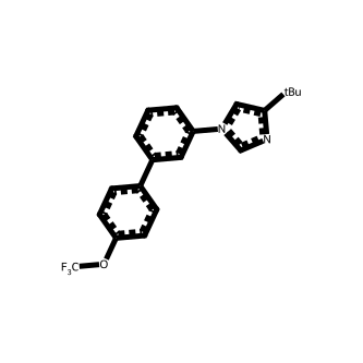 CC(C)(C)c1cn(-c2cccc(-c3ccc(OC(F)(F)F)cc3)c2)cn1